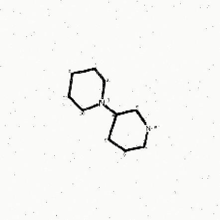 C1CCN(C2CCC[N]C2)CC1